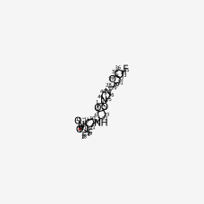 O=CC(OC1CCC(Nc2ccc([N+](=O)[O-])c(C(F)(F)F)c2)CC1)N1CCN(CC[C@@H]2Cc3cc(F)ccc3O2)CC1